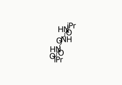 CC(C)CNC(=O)CCCNC(=O)CCCNC(=O)CCC(=O)C(C)C